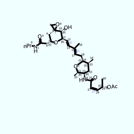 CCCNC(=O)C[C@@H]1C[C@@]2(CO2)[C@H](O)[C@@H](/C=C/C(C)=C/C[C@@H]2O[C@H](C)[C@H](NC(=O)/C=C\[C@H](C)OC(C)=O)C[C@@H]2C)O1